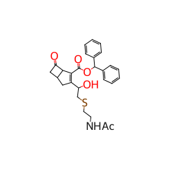 CC(=O)NCCSCC(O)C1=C(C(=O)OC(c2ccccc2)c2ccccc2)C2C(=O)CC2C1